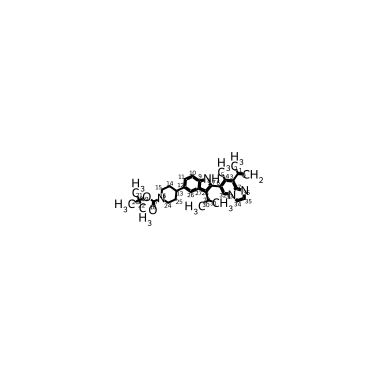 C=C(C)c1c(C)c(-c2[nH]c3ccc(C4CCN(C(=O)OC(C)(C)C)CC4)cc3c2C(C)C)cn2ccnc12